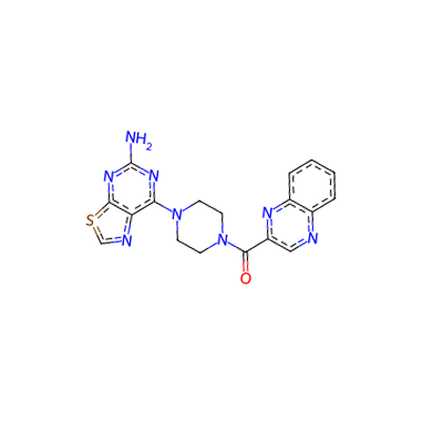 Nc1nc(N2CCN(C(=O)c3cnc4ccccc4n3)CC2)c2ncsc2n1